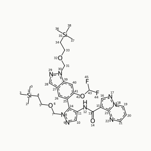 C[Si](C)(C)CCOCn1ncc(NC(=O)c2cnn3cccnc23)c1-c1cc2cnn(COCC[Si](C)(C)C)c2cc1OC(F)F